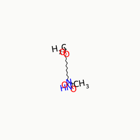 C=CC(=O)OCCCCCCCCCCCn1cc(C)c(=O)[nH]c1=O